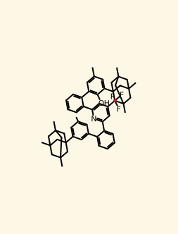 Cc1cc(-c2ccccc2-c2cc(C(F)(F)F)cc(-c3ccccc3-c3cc(C)cc(C45CC6(C)CC(C)(CC(C)(C6)C4)C5)c3O)n2)cc(C23CC4(C)CC(C)(CC(C)(C4)C2)C3)c1